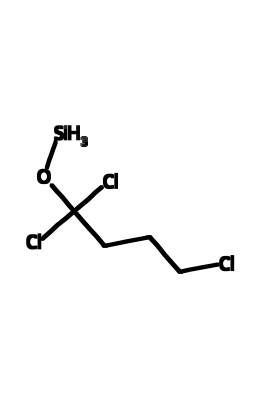 [SiH3]OC(Cl)(Cl)CCCCl